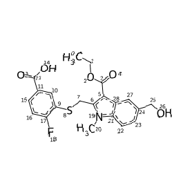 CCOC(=O)c1c(CSc2cc(C(=O)O)ccc2F)n(C)c2ccc(CO)cc12